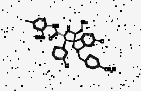 COc1cc(C)ccc1NC(=O)[C@@H]1N[C@@H](CC(C)(C)C)[C@@]2(CN(Cc3ccc(C(=O)O)cc3)c3cc(Cl)ccc32)[C@H]1c1cccc(Cl)c1